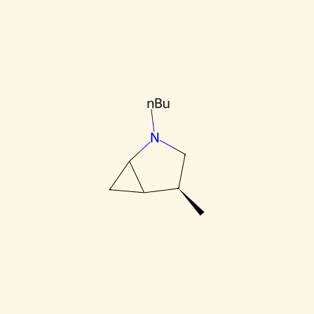 CCCCN1C[C@@H](C)C2CC21